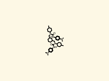 CC1CCC(N(CC2CCCC(CN(C(=O)Nc3ccc(N(C)C)cc3)C3CCC(C)CC3)C2)C(=O)Nc2ccc(N(C)C)cc2)CC1